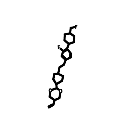 C=CC1COC(C2CCC(CCc3ccc(C4CCC(CF)CC4)c(F)c3)CC2)OC1